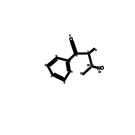 CC(C(=O)c1ccccc1)N(C)N=O